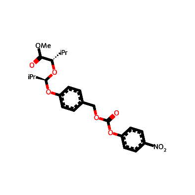 COC(=O)[C@@H](O[C@@H](Oc1ccc(COC(=O)Oc2ccc([N+](=O)[O-])cc2)cc1)C(C)C)C(C)C